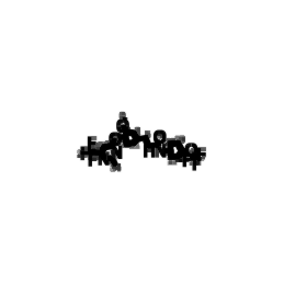 COc1cc(C=CC(=O)Nc2ccc(OC(F)(F)F)cc2)ccc1Oc1cc(C(F)(F)F)nc(C)n1